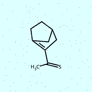 CC(=S)C1=C2CCC(C2)C1